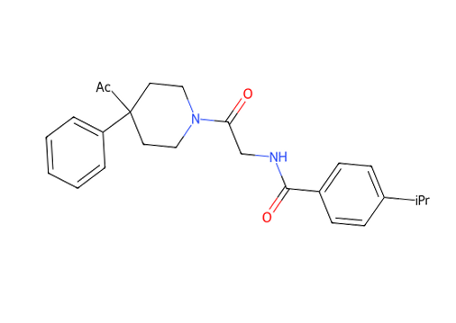 CC(=O)C1(c2ccccc2)CCN(C(=O)CNC(=O)c2ccc(C(C)C)cc2)CC1